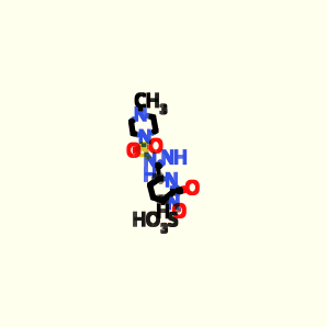 CN1CCN(S(=O)(=O)NC(=N)[C@@H]2CC[C@@H]3CN2C(=O)N3OS(=O)(=O)O)CC1